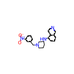 O=[N+]([O-])c1cccc(CN2CCCC(Nc3cccc4cnccc34)C2)c1